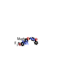 COc1cc(OCCN2CCN(C(=O)c3ccccc3)CC2)cnc1-c1nc2cc(OC(F)(F)F)ccc2[nH]1